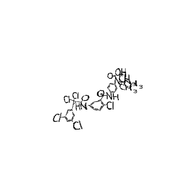 CC(C)(C)N(C(=O)O)c1ccc(NC(=O)c2cc(NC(=O)C3C(c4cc(Cl)cc(Cl)c4)C3(Cl)Cl)ccc2Cl)cc1